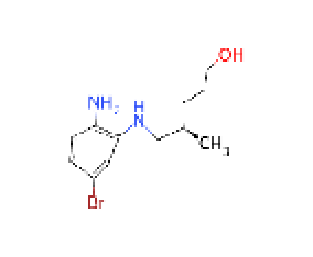 C[C@H](CCCO)CNc1cc(Br)ccc1N